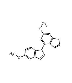 COc1ccc2c(c1)C=CC2c1cc(OC)cc2c1C=CC2